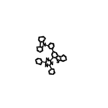 c1ccc(-c2nc(-c3ccccc3)nc(-c3cc(-c4cccc(-n5c6ccccc6c6ccccc65)c4)cc4c3sc3ccccc34)n2)cc1